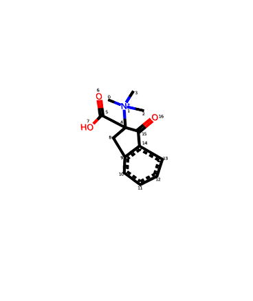 C[N+](C)(C)C1(C(=O)O)Cc2ccccc2C1=O